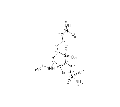 CC(C)CNC1CC(CCON(O)O)S(=O)(=O)c2sc(S(N)(=O)=O)cc21